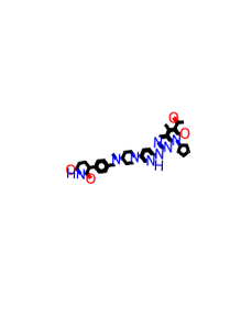 CC(=O)c1c(C)c2cnc(Nc3ccc(N4CCC(N(C)Cc5ccc(C6CCC(=O)NC6=O)cc5)CC4)cn3)nc2n(C2CCCC2)c1=O